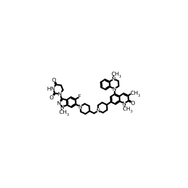 Cc1cc2c(N3CCN(C)c4ccccc43)cc(C3CCN(CC4CCN(c5cc6c(cc5F)c(N5CCC(=O)NC5=O)nn6C)CC4)CC3)cc2n(C)c1=O